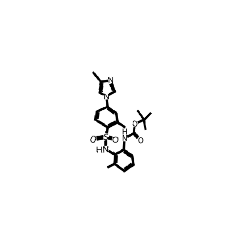 Cc1cn(-c2ccc(S(=O)(=O)Nc3c(C)cccc3NC(=O)OC(C)(C)C)c(C)c2)cn1